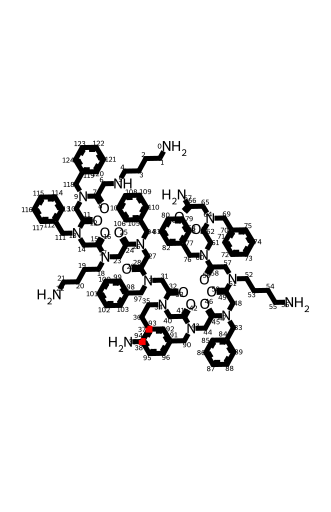 NCCCCNCC(=O)N(CC(=O)N(CC(=O)N(CCCCN)CC(=O)N(CC(=O)N(CC(=O)N(CCCCN)CC(=O)N(CC(=O)N(CC(=O)N(CCCCN)CC(=O)N(CC(=O)N(CC(N)=O)Cc1ccccc1)Cc1ccccc1)Cc1ccccc1)Cc1ccccc1)Cc1ccccc1)Cc1ccccc1)Cc1ccccc1)Cc1ccccc1